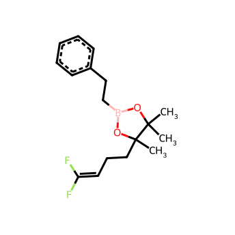 CC1(C)OB(CCc2ccccc2)OC1(C)CCC=C(F)F